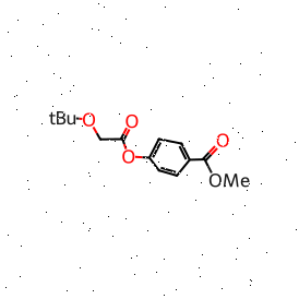 COC(=O)c1ccc(OC(=O)COC(C)(C)C)cc1